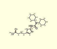 COC(=O)CSCc1cnc(NC(=O)N(C2CCCCC2)C2CCCCC2)s1